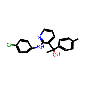 Cc1ccc(C(C)(O)c2cccnc2Nc2ccc(Cl)cc2)cc1